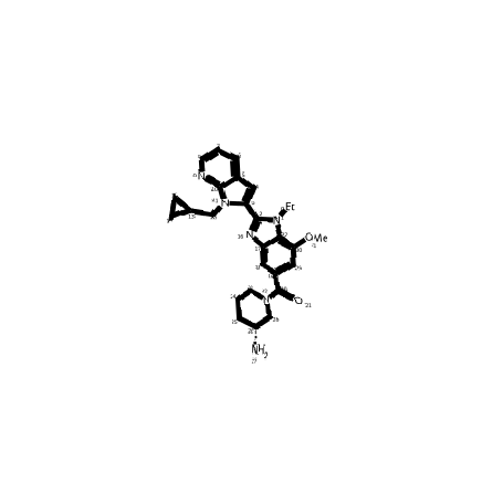 CCn1c(-c2cc3cccnc3n2CC2CC2)nc2cc(C(=O)N3CCC[C@@H](N)C3)cc(OC)c21